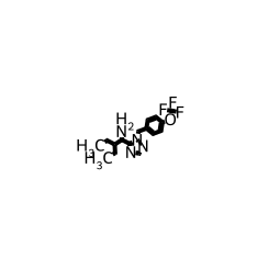 CCC(CC)C(N)c1ncnn1Cc1ccc(OC(F)(F)F)cc1